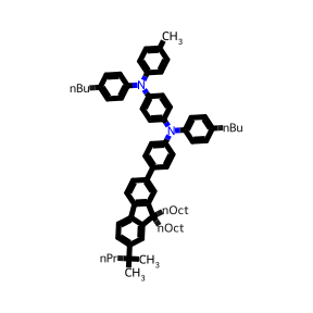 CCCCCCCCC1(CCCCCCCC)c2cc(-c3ccc(N(c4ccc(CCCC)cc4)c4ccc(N(c5ccc(C)cc5)c5ccc(CCCC)cc5)cc4)cc3)ccc2-c2ccc(C(C)(C)CCC)cc21